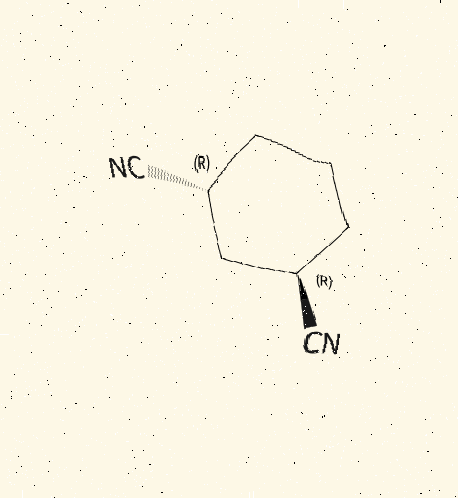 N#C[C@@H]1CCC[C@@H](C#N)C1